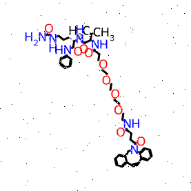 CC(C)[C@H](NC(=O)CCOCCOCCOCCOCCNC(=O)CCC(=O)N1Cc2ccccc2C#Cc2ccccc21)C(=O)N[C@@H](CCCNC(N)=O)C(=O)Nc1ccccc1